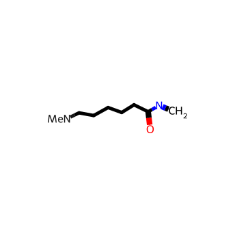 C=NC(=O)CCCCCNC